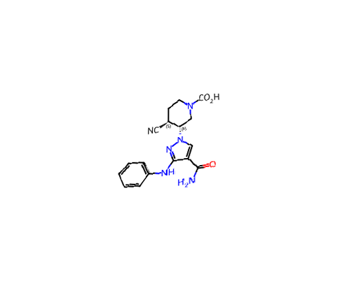 N#C[C@H]1CCN(C(=O)O)C[C@@H]1n1cc(C(N)=O)c(Nc2ccccc2)n1